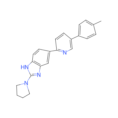 Cc1ccc(-c2ccc(-c3ccc4[nH]c(N5CCCC5)nc4c3)nc2)cc1